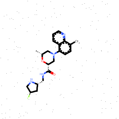 C[C@@H]1CN(c2ccc(C(F)(F)F)c3ncccc23)C[C@H](C(=O)NC[C@@H]2C[C@@H](F)CN2)O1